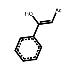 CC(=O)C=C(O)c1ccccc1